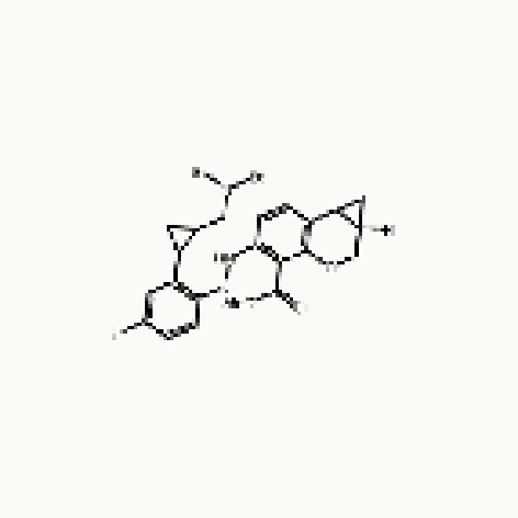 CCN(CC)CC1CC1c1cc(F)ccc1SNc1ccc2c(c1C(=O)OC)OC[C@@H]1CC21